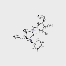 CCN1C(=O)/C(=C/c2cc(I)c(O)c(OC)c2)S/C1=N\c1ccccc1